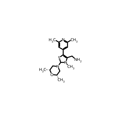 Cc1cc(C2=C(CN)N(C)C(N3C[C@@H](C)O[C@@H](C)C3)S2)cc(C)n1